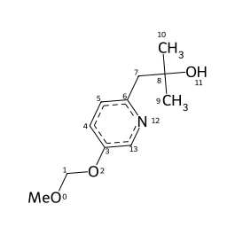 COCOc1ccc(CC(C)(C)O)nc1